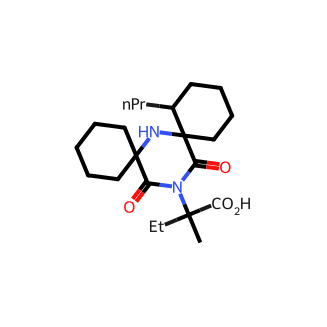 CCCC1CCCCC12NC1(CCCCC1)C(=O)N(C(C)(CC)C(=O)O)C2=O